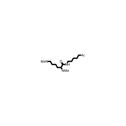 CNCCCCC(NC)C(=O)NCCCCCC(C)=O